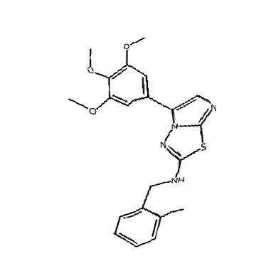 COc1cc(-c2cnc3sc(NCc4ccccc4C)nn23)cc(OC)c1OC